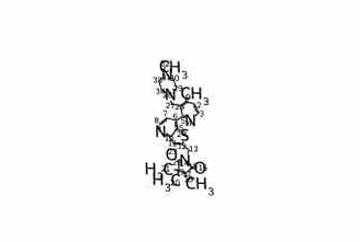 Cc1ccnc(-c2ccnc3cc(CN4C(=O)C(C)C(C)(C)C4=O)sc23)c1CN1CCN(C)CC1